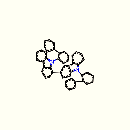 c1ccc(-c2ccccc2-n2c3ccccc3c3cc(-c4cccc5c6ccccc6n(-c6ccccc6-c6ccccc6)c45)ccc32)cc1